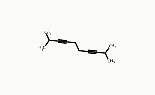 CC(C)C#CCCC#CC(C)C